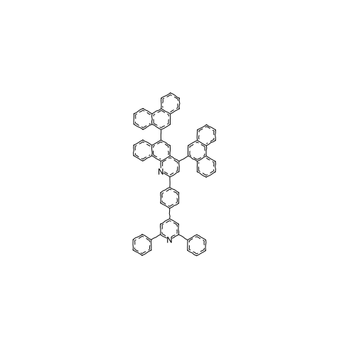 c1ccc(-c2cc(-c3ccc(-c4cc(-c5cc6ccccc6c6ccccc56)c5cc(-c6cc7ccccc7c7ccccc67)c6ccccc6c5n4)cc3)cc(-c3ccccc3)n2)cc1